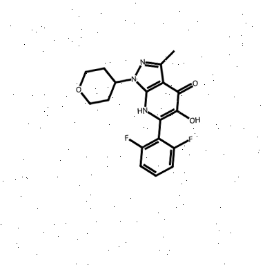 Cc1nn(C2CCOCC2)c2[nH]c(-c3c(F)cccc3F)c(O)c(=O)c12